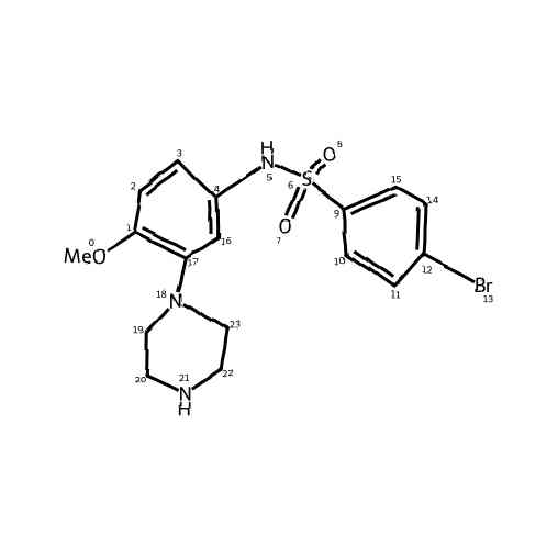 COc1ccc(NS(=O)(=O)c2ccc(Br)cc2)cc1N1CCNCC1